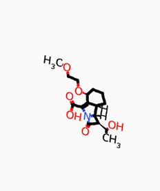 COCCO[C@H]1CCC[C@H]2C1=C(C(=O)O)N1C(=O)[C@H](C(C)O)[C@@H]21